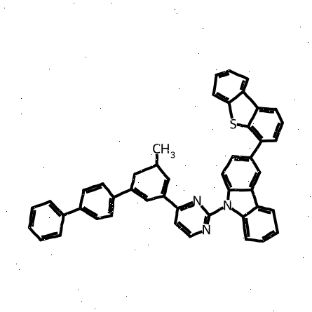 CC1C=C(c2ccnc(-n3c4ccccc4c4cc(-c5cccc6c5sc5ccccc56)ccc43)n2)C=C(c2ccc(-c3ccccc3)cc2)C1